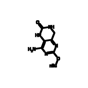 CCCCOc1nc(N)c2c(n1)CNC(=O)N2